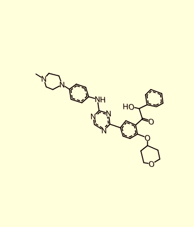 CN1CCN(c2ccc(Nc3ncnc(-c4ccc(OC5CCOCC5)c(C(=O)C(O)c5ccccc5)c4)n3)cc2)CC1